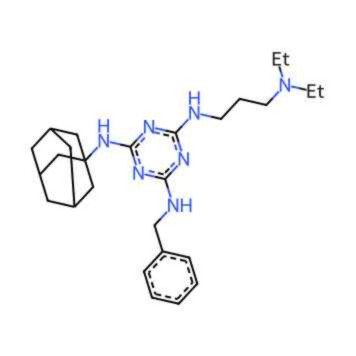 CCN(CC)CCCNc1nc(NCc2ccccc2)nc(NC23CC4CC(CC(C4)C2)C3)n1